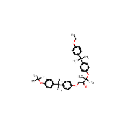 CCC(C)COc1ccc(C(C)(C)c2ccc(OC(C)(C)C(O)COc3ccc(C(C)(C)c4ccc(OC(C)(C)C(C)CC)cc4)cc3)cc2)cc1